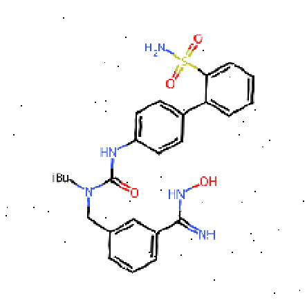 CCC(C)N(Cc1cccc(C(=N)NO)c1)C(=O)Nc1ccc(-c2ccccc2S(N)(=O)=O)cc1